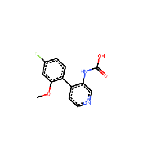 COc1cc(F)ccc1-c1ccncc1NC(=O)O